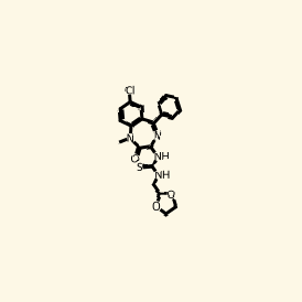 CN1C(=O)C(NC(=S)NCC2OCCO2)N=C(c2ccccc2)c2cc(Cl)ccc21